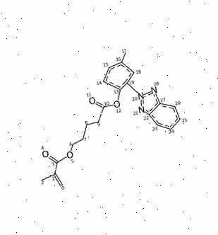 C=C(C)C(=O)OCCCCC(=O)Oc1ccc(C)cc1-n1nc2ccccc2n1